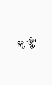 Cc1cccc2c(OCCCCCCN3C(=O)NC(C)(c4ccc5c(c4)OCO5)C3=O)c(Cc3ccccc3)cnc12